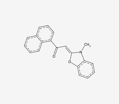 CN1C(=CC(=O)c2cccc3ccccc23)Oc2ccccc21